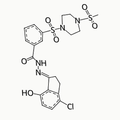 CS(=O)(=O)N1CCN(S(=O)(=O)c2cccc(C(=O)N/N=C3\CCc4c(Cl)ccc(O)c43)c2)CC1